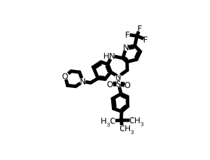 CC(C)(C)c1ccc(S(=O)(=O)N2Cc3ccc(C(F)(F)F)nc3Nc3ccc(CN4CCOCC4)cc32)cc1